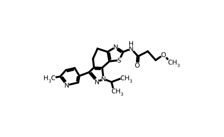 COCCC(=O)Nc1nc2c(s1)-c1c(c(-c3ccc(C)nc3)nn1C(C)C)CC2